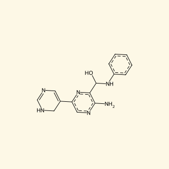 Nc1ncc(C2=CN=CNC2)nc1C(O)Nc1ccccc1